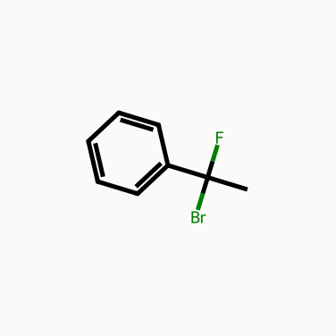 CC(F)(Br)c1ccccc1